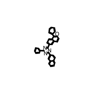 c1ccc(-c2nc(-c3ccc4ccccc4c3)nc(-c3ccc4c(ccc5oc6ccccc6c54)c3)n2)cc1